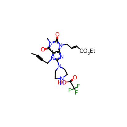 CC#CCn1c(N2CCNCC2)nc2c1c(=O)n(C)c(=O)n2CC=CC(=O)OCC.O=C(O)C(F)(F)F